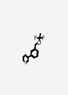 CC(F)(F)OCc1cccc(-c2cccnc2)c1